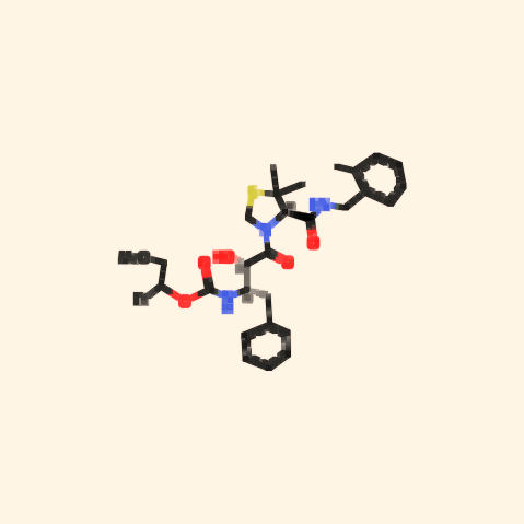 CCC(COC)OC(=O)N[C@@H](Cc1ccccc1)[C@H](O)C(=O)N1CSC(C)(C)[C@H]1C(=O)NCc1ccccc1C